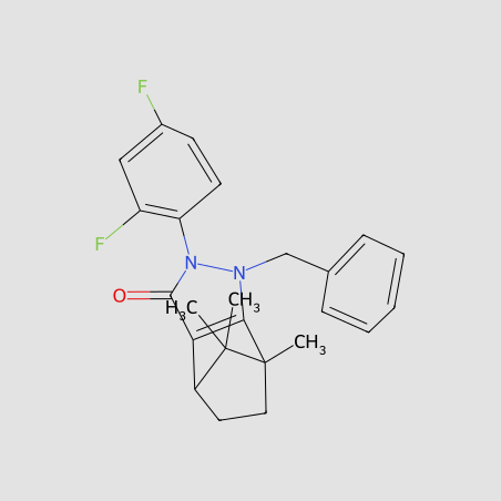 CC12CCC(c3c1n(Cc1ccccc1)n(-c1ccc(F)cc1F)c3=O)C2(C)C